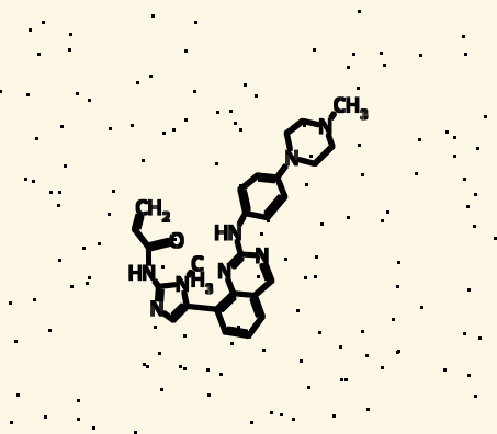 C=CC(=O)Nc1ncc(-c2cccc3cnc(Nc4ccc(N5CCN(C)CC5)cc4)nc23)n1C